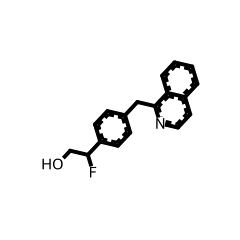 OCC(F)c1ccc(Cc2nccc3ccccc23)cc1